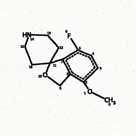 COc1ccc(F)c2c1COC21CCNCC1